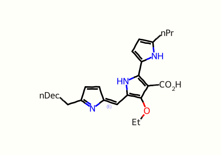 CCCCCCCCCCCC1=N/C(=C/c2[nH]c(-c3ccc(CCC)[nH]3)c(C(=O)O)c2OCC)C=C1